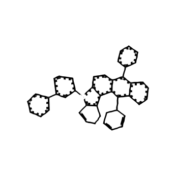 C1=CCC(c2c3ccccc3c(-c3ccccc3)c3ccc4c(c5c(n4-c4cccc(-c6ccccc6)c4)C=CCC5)c23)C=C1